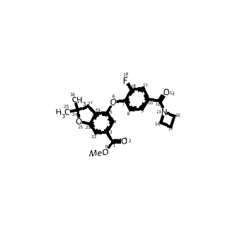 COC(=O)c1cc(Oc2ccc(C(=O)N3CCC3)cc2F)c2c(c1)OC(C)(C)C2